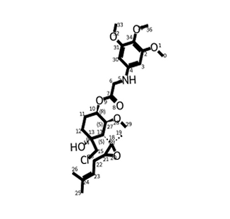 COc1cc(NCC(=O)O[C@@H]2CC[C@](O)(CCl)[C@@H]([C@@]3(C)OC3CC=C(C)C)[C@@H]2OC)cc(OC)c1OC